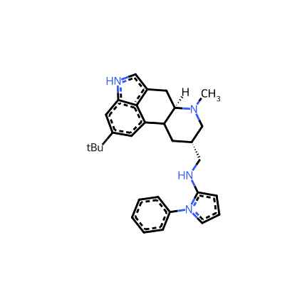 CN1C[C@H](CNc2cccn2-c2ccccc2)CC2c3cc(C(C)(C)C)cc4[nH]cc(c34)C[C@H]21